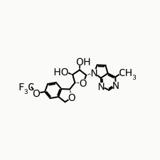 Cc1ncnc2c1ccn2[C@@H]1O[C@H]([C@@H]2OCc3cc(OC(F)(F)F)ccc32)[C@@H](O)[C@H]1O